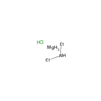 C[CH2][AlH][CH2]C.Cl.[MgH2]